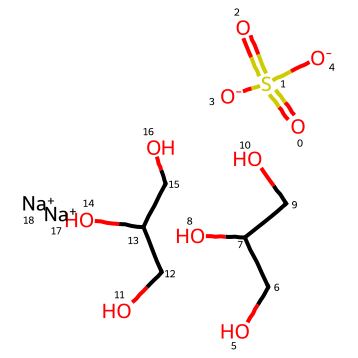 O=S(=O)([O-])[O-].OCC(O)CO.OCC(O)CO.[Na+].[Na+]